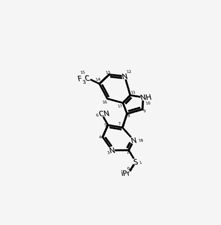 CC(C)Sc1ncc(C#N)c(-c2c[nH]c3ncc(C(F)(F)F)cc23)n1